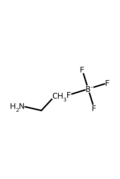 CCN.F[B-](F)(F)F